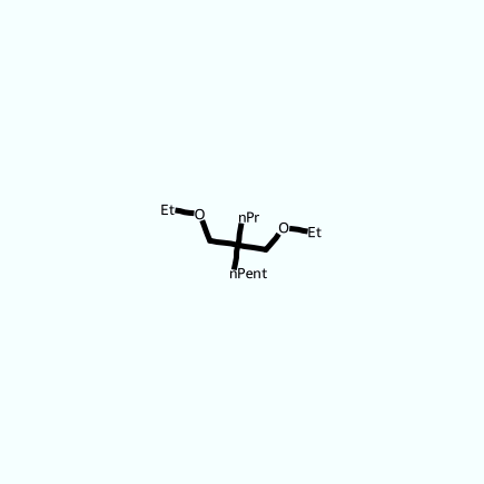 CCCCCC(CCC)(COCC)COCC